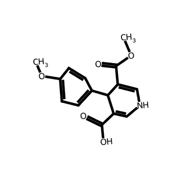 COC(=O)C1=CNC=C(C(=O)O)C1c1ccc(OC)cc1